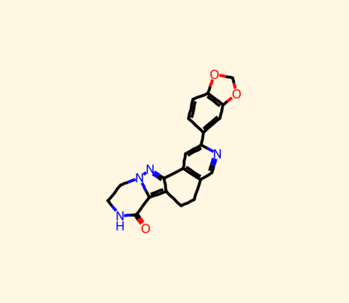 O=C1NCCn2nc3c(c21)CCc1cnc(-c2ccc4c(c2)OCO4)cc1-3